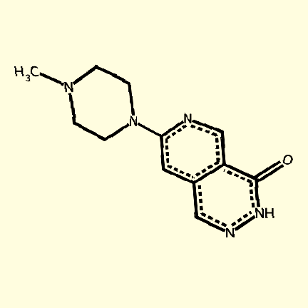 CN1CCN(c2cc3cn[nH]c(=O)c3cn2)CC1